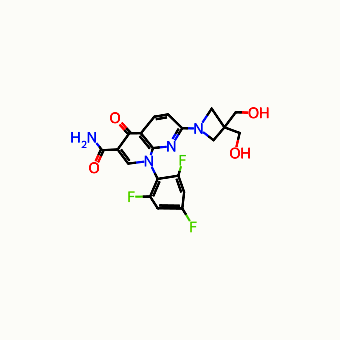 NC(=O)c1cn(-c2c(F)cc(F)cc2F)c2nc(N3CC(CO)(CO)C3)ccc2c1=O